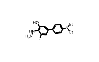 CCN(CC)c1ccc(-c2cc(O)c(NN)c(F)c2)cc1